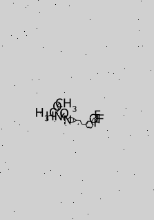 COCC(C)NC(=O)CN1CC2C(C[CH]c3cccc(OC(F)(F)F)c3)C2C1